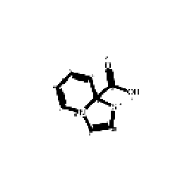 O=C(O)C12C=CC=CN1C=CS2